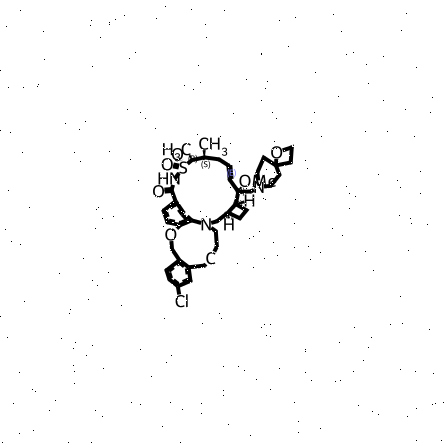 CO[C@@]1(CN2CCC3(CCO3)CC2)/C=C/C[C@H](C)[C@@H](C)S(=O)(=O)NC(=O)c2ccc3c(c2)N(CCCCc2cc(Cl)ccc2CO3)C[C@@H]2CC[C@H]21